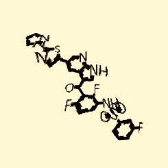 O=C(c1c(F)ccc(NS(=O)(=O)c2cccc(F)c2)c1F)c1c[nH]c2ncc(-c3cnc(-n4cccn4)s3)cc12